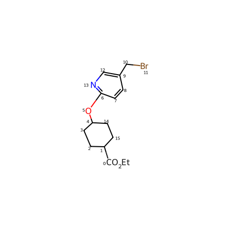 CCOC(=O)C1CCC(Oc2ccc(CBr)cn2)CC1